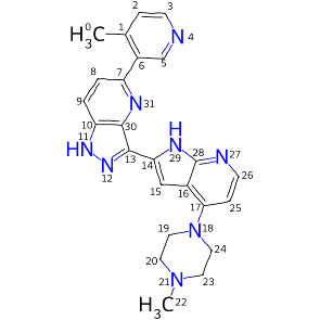 Cc1ccncc1-c1ccc2[nH]nc(-c3cc4c(N5CCN(C)CC5)ccnc4[nH]3)c2n1